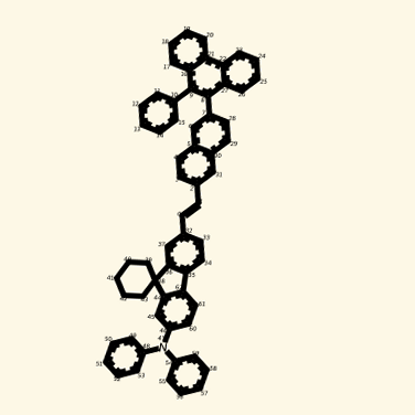 C(=C\c1ccc2cc(-c3c(-c4ccccc4)c4ccccc4c4ccccc34)ccc2c1)/c1ccc2c(c1)C1(CCCCC1)c1cc(N(c3ccccc3)c3ccccc3)ccc1-2